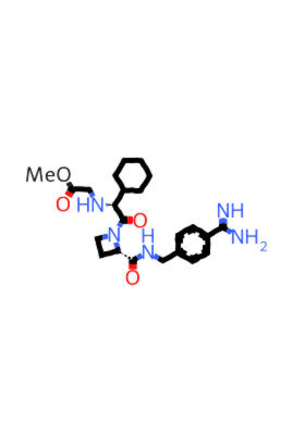 COC(=O)CN[C@@H](C(=O)N1CC[C@H]1C(=O)NCc1ccc(C(=N)N)cc1)C1CCCCC1